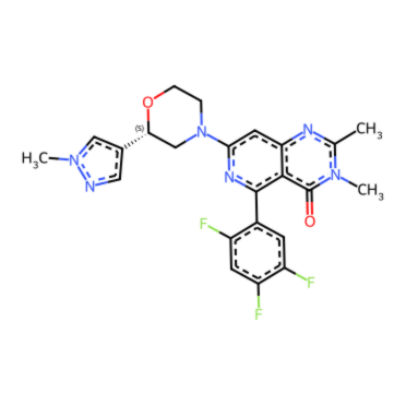 Cc1nc2cc(N3CCO[C@@H](c4cnn(C)c4)C3)nc(-c3cc(F)c(F)cc3F)c2c(=O)n1C